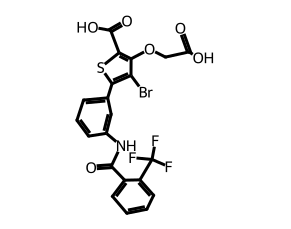 O=C(O)COc1c(C(=O)O)sc(-c2cccc(NC(=O)c3ccccc3C(F)(F)F)c2)c1Br